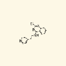 Clc1nc(NCCc2ccncc2)c2ccccc2n1